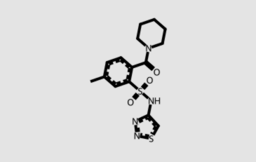 Cc1ccc(C(=O)N2CCCCC2)c(S(=O)(=O)Nc2csnn2)c1